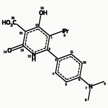 CC(C)c1c(-c2ccc(N(C)C)cc2)[nH]c(=O)c(C(=O)O)c1O